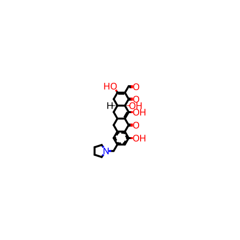 O=CC1=C(O)C[C@@H]2CC3Cc4cc(CN5CCCC5)cc(O)c4C(=O)C3=C(O)[C@]2(O)C1=O